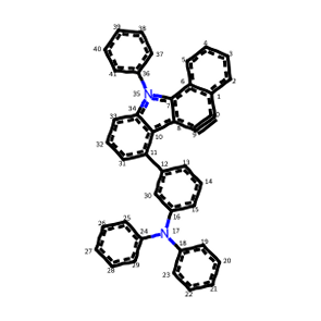 c1c2ccccc2c2c(c#1)c1c(-c3cccc(N(c4ccccc4)c4ccccc4)c3)cccc1n2-c1ccccc1